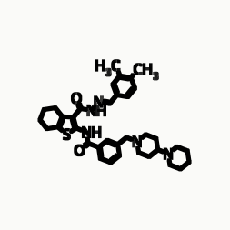 Cc1ccc(C=NNC(=O)c2c(NC(=O)c3cccc(CN4CCC(N5CCCCC5)CC4)c3)sc3c2CCCC3)cc1C